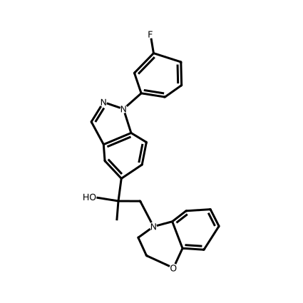 CC(O)(CN1CCOc2ccccc21)c1ccc2c(cnn2-c2cccc(F)c2)c1